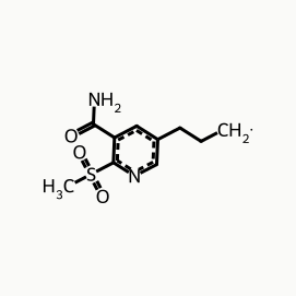 [CH2]CCc1cnc(S(C)(=O)=O)c(C(N)=O)c1